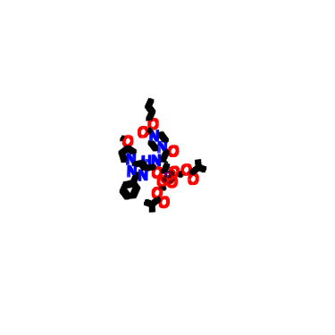 CCCCOC(=O)N1CCN(C(=O)[C@H](CCP(=O)(OCOC(=O)C(C)C)OCOC(=O)C(C)C)NC(=O)c2cc(N3CC[C@H](OC)C3)nc(-c3ccccc3)n2)CC1